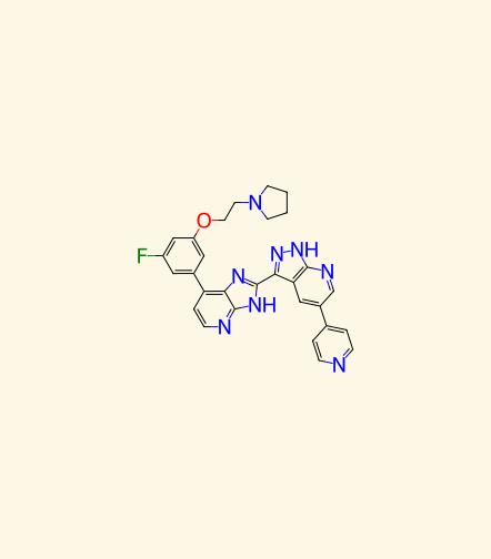 Fc1cc(OCCN2CCCC2)cc(-c2ccnc3[nH]c(-c4n[nH]c5ncc(-c6ccncc6)cc45)nc23)c1